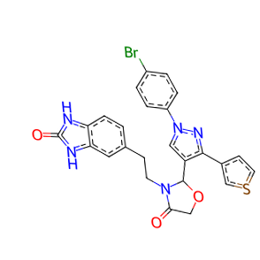 O=C1COC(c2cn(-c3ccc(Br)cc3)nc2-c2ccsc2)N1CCc1ccc2[nH]c(=O)[nH]c2c1